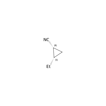 CC[C@H]1C[C@H]1C#N